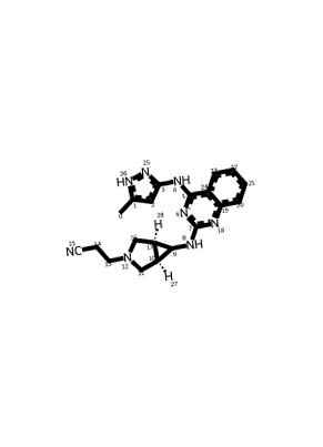 Cc1cc(Nc2nc(NC3[C@H]4CN(CCC#N)C[C@@H]34)nc3ccccc23)n[nH]1